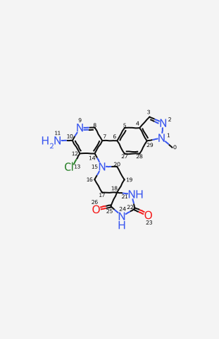 Cn1ncc2cc(-c3cnc(N)c(Cl)c3N3CCC4(CC3)NC(=O)NC4=O)ccc21